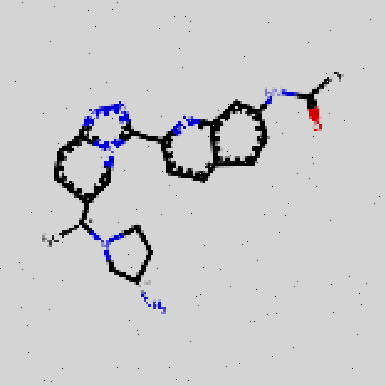 CC(C)C(=O)Nc1ccc2ccc(-c3nnc4ccc([C@@H](N5CC[C@H](N)C5)C(F)(F)F)cn34)nc2c1